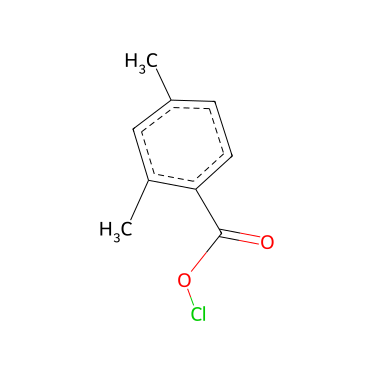 Cc1ccc(C(=O)OCl)c(C)c1